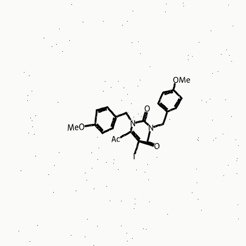 COc1ccc(Cn2c(C(C)=O)c(I)c(=O)n(Cc3ccc(OC)cc3)c2=O)cc1